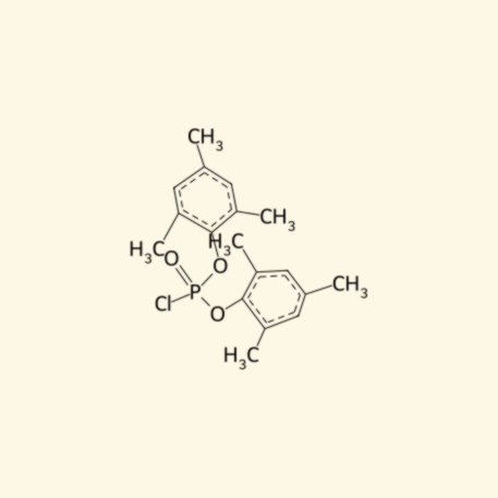 Cc1cc(C)c(OP(=O)(Cl)Oc2c(C)cc(C)cc2C)c(C)c1